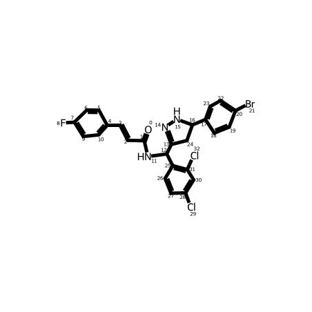 O=C(C=Cc1ccc(F)cc1)NC(C1=NNC(c2ccc(Br)cc2)C1)c1ccc(Cl)cc1Cl